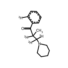 [2H]c1ccccc1C(=O)C([2H])(C)C([2H])([2H])N1CCCCC1